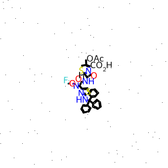 CC(=O)OCC1=C(C(=O)O)N2C(=O)[C@@H](NC(=O)/C(=N\OCF)c3csc(NC(c4ccccc4)(c4ccccc4)c4ccccc4)n3)[C@H]2SC1